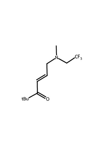 CN(C/C=C/C(=O)C(C)(C)C)CC(F)(F)F